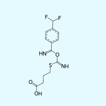 N=C(OC(=N)c1ccc(C(F)F)cc1)SCCCC(=O)O